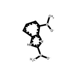 C[S+]([O-])c1nc2c([S+](C)[O-])cccc2[nH]1